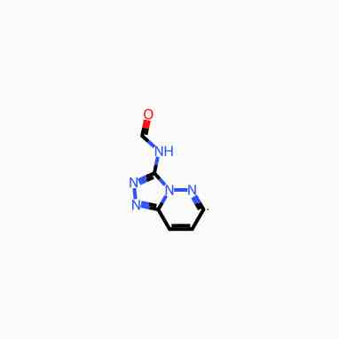 O=CNc1nnc2cc[c]nn12